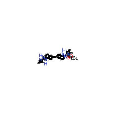 CC1C[C@@H](c2nc3c([nH]2)-c2ccc(C#Cc4ccc5c(c4)CCc4nc([C@@H]6CC7CC7N6)[nH]c4-5)cc2CC3)N(C(=O)OC(C)(C)C)[C@@H]1C